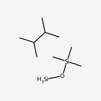 CC(C)C(C)C.C[Si](C)(C)O[SiH3]